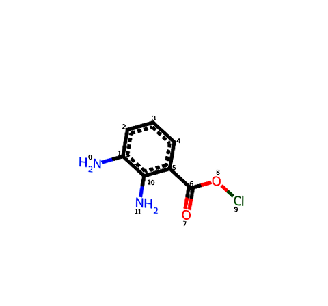 Nc1cccc(C(=O)OCl)c1N